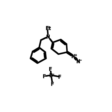 CCN(Cc1ccccc1)C1=CCC(=[N+]=[N-])C=C1.F[B-](F)(F)F